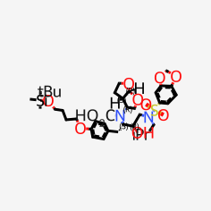 CC(C)CN(C[C@@H](O)[C@H](Cc1ccc(OCCCCO[Si](C)(C)C(C)(C)C)cc1)N(C(=O)O)[C@H]1CO[C@H]2OCC[C@H]21)S(=O)(=O)c1ccc2c(c1)OCO2